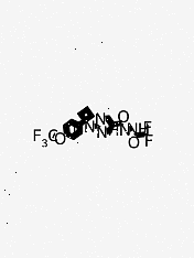 O=C(NNC(=O)C(F)F)c1cnc(NC2(c3ccc(OC(F)(F)F)cc3)CCC2)nc1